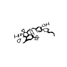 CCCOc1cnc(CN/C=C2/C(=O)NC(=O)c3ccc(Br)cc32)cc1O